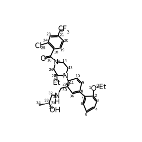 CCOc1ccccc1-c1ccc(N2CCN(C(=O)c3ccc(C(F)(F)F)cc3Cl)C[C@H]2CC)c(CNC[C@H](C)O)c1